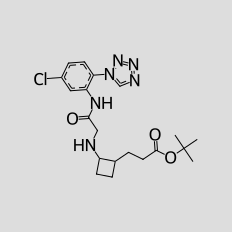 CC(C)(C)OC(=O)CCC1CCC1NCC(=O)Nc1cc(Cl)ccc1-n1cnnn1